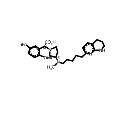 COc1ccc(C(C)C)cc1[C@H](C(=O)O)N1CC[C@@H](N(C)CCCCCc2ccc3c(n2)NCCC3)C1